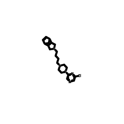 Clc1cncc(N2CCN(CCCCN3CC4C5C=CC(C5)C4C3)CC2)n1